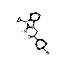 N=c1n(CC(=O)c2ccc(Br)cc2)c2ccccc2n1C1CC1